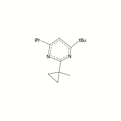 CC(C)c1cc(C(C)(C)C)nc(C2(C)CC2)n1